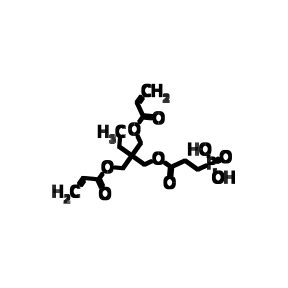 C=CC(=O)OCC(CC)(COC(=O)C=C)COC(=O)CCP(=O)(O)O